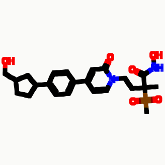 CC(CCn1ccc(-c2ccc(C3CCC(CO)C3)cc2)cc1=O)(C(=O)NO)S(C)(=O)=O